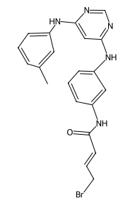 Cc1cccc(Nc2cc(Nc3cccc(NC(=O)/C=C/CBr)c3)ncn2)c1